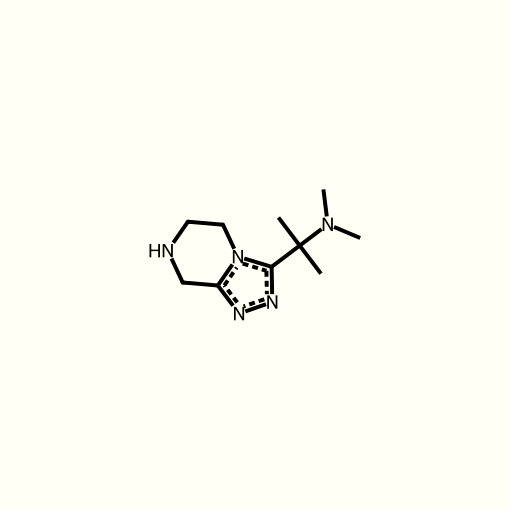 CN(C)C(C)(C)c1nnc2n1CCNC2